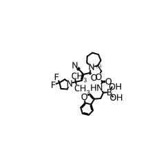 CC(C)(C=C(C#N)C(=O)N1CCCCC[C@H]1COC(=O)NC(Cc1coc2ccccc12)B(O)O)N1CCC(F)(F)C1